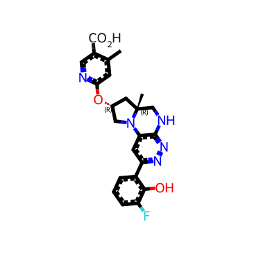 Cc1cc(O[C@H]2CN3c4cc(-c5cccc(F)c5O)nnc4NC[C@@]3(C)C2)ncc1C(=O)O